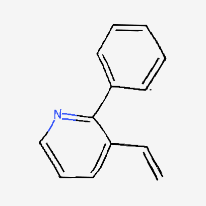 C=Cc1cccnc1-c1[c]cccc1